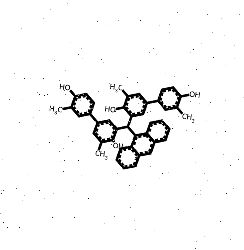 Cc1cc(-c2cc(C)c(O)c(C(c3cc(-c4ccc(O)c(C)c4)cc(C)c3O)c3c4ccccc4cc4ccccc34)c2)ccc1O